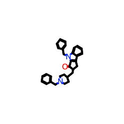 O=C1c2c(c3ccccc3n2Cc2ccccc2)CC1CC1CCN(Cc2ccccc2)CC1